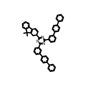 CC1(C)C2=C(C=CC(c3nc(-c4cccc(-c5ccc(-c6ccccc6)cc5)c4)nc(-c4cccc(-c5ccc(-c6ccccc6)cc5)c4)n3)C2)c2ccccc21